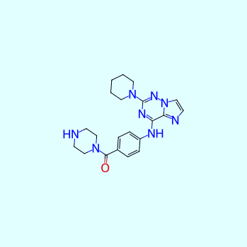 O=C(c1ccc(Nc2nc(N3CCCCC3)nn3ccnc23)cc1)N1CCNCC1